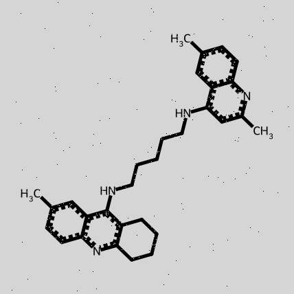 Cc1ccc2nc(C)cc(NCCCCCNc3c4c(nc5ccc(C)cc35)CCCC4)c2c1